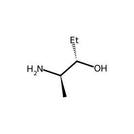 CC[C@H](O)[C@@H](C)N